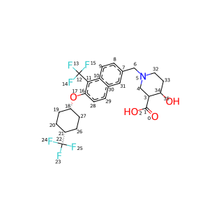 O=C(O)C1CN(Cc2ccc3c(C(F)(F)F)c(O[C@H]4CC[C@@H](C(F)(F)F)CC4)ccc3c2)CCC1O